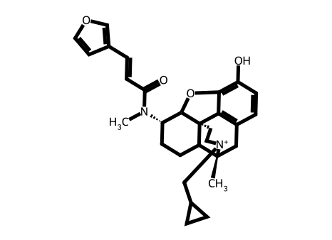 CN(C(=O)/C=C/c1ccoc1)[C@H]1CCC2C3Cc4ccc(O)c5c4[C@]2(CC[N@@+]3(C)CC2CC2)C1O5